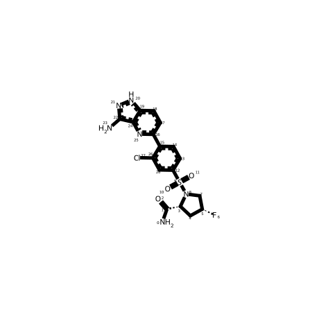 NC(=O)[C@H]1C[C@@H](F)CN1S(=O)(=O)c1ccc(-c2ccc3[nH]nc(N)c3n2)c(Cl)c1